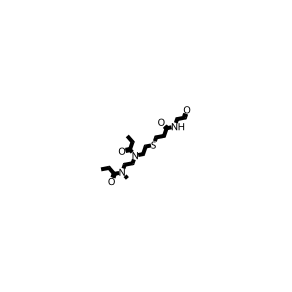 CCC(=O)N(C)CCN(CCSCCC(=O)NCC=O)C(=O)CC